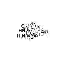 CCN(C)CCNc1ccc(Cn2c(=O)[nH]c3c(N)nc(P(C)(C)=O)nc32)cn1